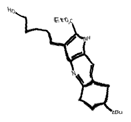 CCOC(=O)c1[nH]c2cc3c(nc2c1CCCCO)CCC(C(C)(C)C)C3